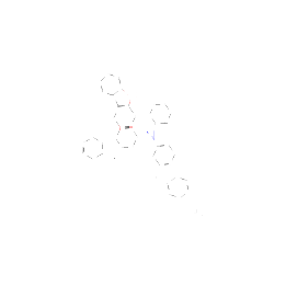 Cc1cc(C)c2oc3c(-c4cccc(C)c4N(c4ccc5c(c4)C(C)(C)c4ccccc4-5)c4ccc5c(c4)C(C)(C)c4cc(C(C)(C)C)ccc4-5)cccc3c2c1